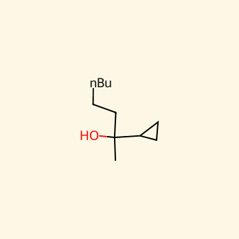 CCCCCCC(C)(O)C1CC1